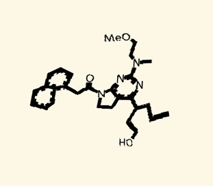 C=CCC(/C=C/O)c1nc(N(C)CCOC)nc2c1CCN2C(=O)Cc1cccc2ccccc12